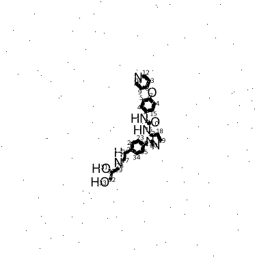 O=C(Nc1ccc(Oc2ccncc2)cc1)Nc1ccnn1-c1ccc(CCNCC(O)CO)cc1